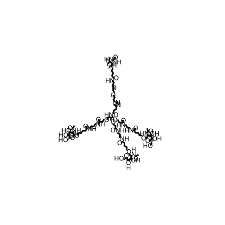 CC(=O)N[C@H]1[C@H](OCCCCC(=O)NCCCNC(=O)CCOCC(COCCC(=O)NCCCNC(=O)CCCCOC2O[C@H](CO)[C@H](O)[C@H](O)[C@H]2NC(C)=O)(COCCC(=O)NCCCNC(=O)CCCCOC2O[C@H](CO)[C@H](O)[C@H](O)[C@H]2NC(C)=O)NC(=O)CCc2cn(CCOCCOCCNC(=O)CCCC[C@@H]3SC[C@@H]4NC(=O)N[C@@H]43)nn2)O[C@H](CO)[C@H](O)[C@@H]1O